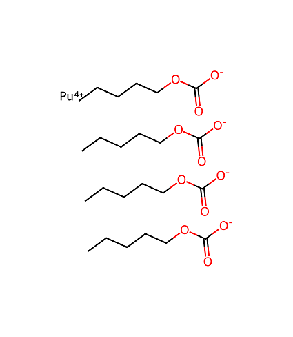 CCCCCOC(=O)[O-].CCCCCOC(=O)[O-].CCCCCOC(=O)[O-].CCCCCOC(=O)[O-].[Pu+4]